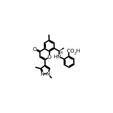 Cc1cc([C@@H](C)Nc2ccccc2C(=O)O)c2oc(-c3cn(C)nc3C)cc(=O)c2c1